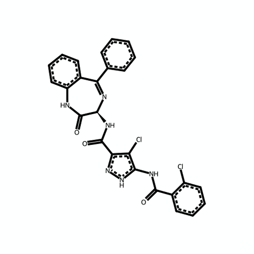 O=C(Nc1[nH]nc(C(=O)N[C@@H]2N=C(c3ccccc3)c3ccccc3NC2=O)c1Cl)c1ccccc1Cl